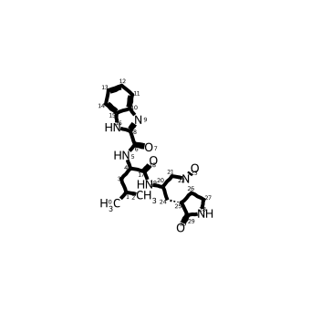 CC(C)CC(NC(=O)c1nc2ccccc2[nH]1)C(=O)NC(CN=O)C[C@@H]1CCNC1=O